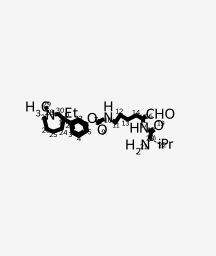 CCC1(c2cccc(OC(=O)NCCCCC(C=O)NC(=O)[C@@H](N)C(C)C)c2)CCCCN(C)C1